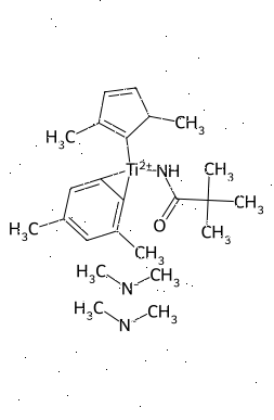 CC1=[C]([Ti+2]2([NH]C(=O)C(C)(C)C)[c]3cc(C)cc(C)[c]32)C(C)C=C1.C[N-]C.C[N-]C